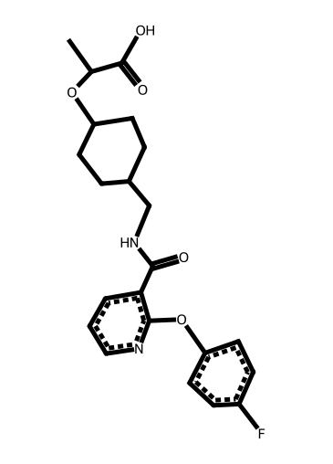 CC(OC1CCC(CNC(=O)c2cccnc2Oc2ccc(F)cc2)CC1)C(=O)O